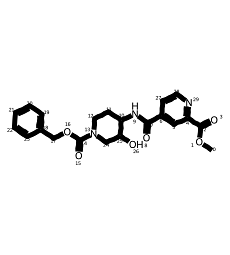 COC(=O)c1cc(C(=O)NC2CCN(C(=O)OCc3ccccc3)CC2O)ccn1